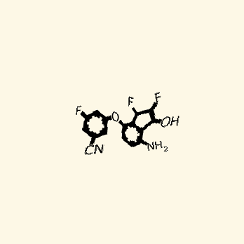 N#Cc1cc(F)cc(Oc2ccc(N)c3c2C(F)C(F)C3O)c1